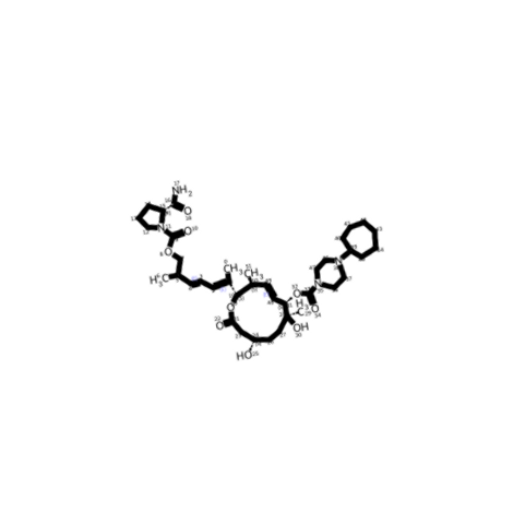 C/C(=C\C=C\C(C)COC(=O)N1CCC[C@@H]1C(N)=O)[C@H]1OC(=O)C[C@@H](O)CC[C@](C)(O)[C@@H](OC(=O)N2CCN(C3CCCCCC3)CC2)/C=C/[C@@H]1C